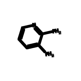 Pc1cccnc1P